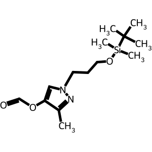 Cc1nn(CCCO[Si](C)(C)C(C)(C)C)cc1OC=O